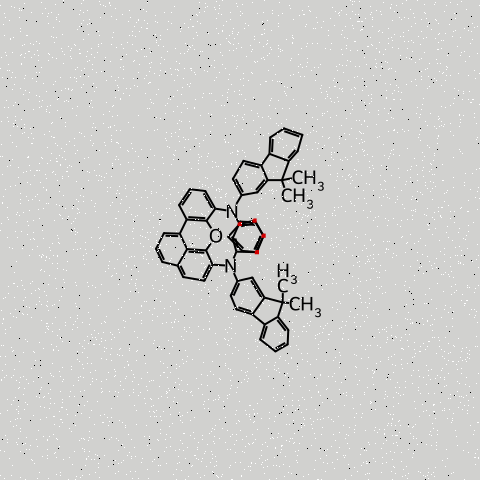 CC1(C)c2ccccc2-c2ccc(N(c3ccccc3)c3cccc4c3Oc3c(N(c5ccccc5)c5ccc6c(c5)C(C)(C)c5ccccc5-6)ccc5cccc-4c35)cc21